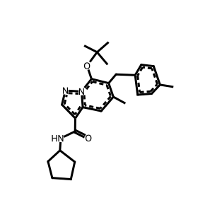 Cc1ccc(Cc2c(C)cc3c(C(=O)NC4CCCC4)cnn3c2OC(C)(C)C)cc1